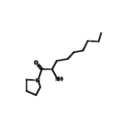 CCCCCCCC([NH])C(=O)N1CCCC1